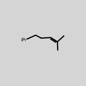 CC(C)=C[CH]CC(C)C